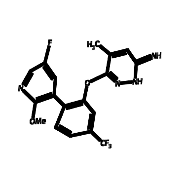 COc1ncc(F)cc1-c1ccc(C(F)(F)F)cc1Oc1n[nH]c(=N)cc1C